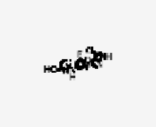 OCC1CCOC(Nc2cc(F)c(Oc3ccnc4[nH]cc(Cl)c34)c(F)c2)=N1